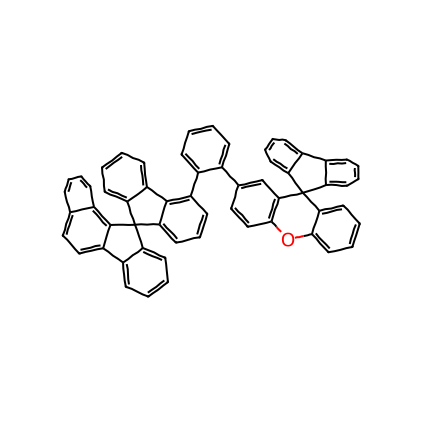 c1ccc2c(c1)Oc1ccc(-c3ccccc3-c3cccc4c3-c3ccccc3C43c4ccccc4-c4ccc5ccccc5c43)cc1C21c2ccccc2-c2ccccc21